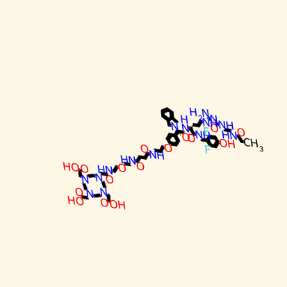 CCC(=O)NCCNC(=O)/N=C(/N)NCCC[C@@H](NC(=O)[C@H](c1ccc(OCCCNC(=O)CCC(=O)NCCOCCNC(=O)CN2CCN(CC(=O)O)CCN(CC(=O)O)CCN(CC(=O)O)CC2)cc1)N1Cc2ccccc2C1)C(=O)NCc1c(F)cc(O)cc1F